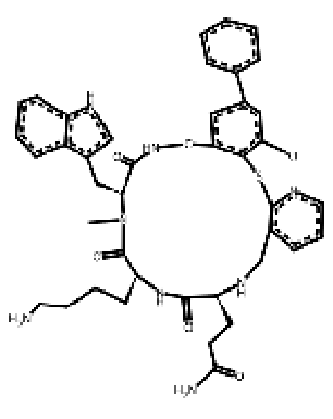 CN1C(=O)[C@H](CCCCN)NC(=O)[C@H](CCC(N)=O)NCc2cccnc2Sc2c(Cl)cc(-c3ccccc3)cc2CNC(=O)[C@@H]1Cc1c[nH]c2ccccc12